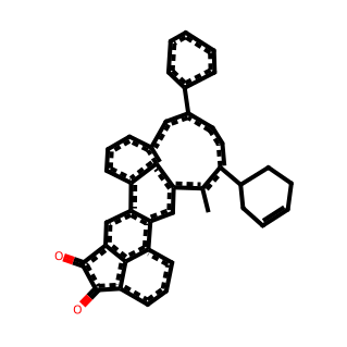 Cc1c(C2CC=CCC2)ccc(-c2ccccc2)cc2cccc3c4cc5c(=O)c(=O)c6cccc(c4cc1c23)c65